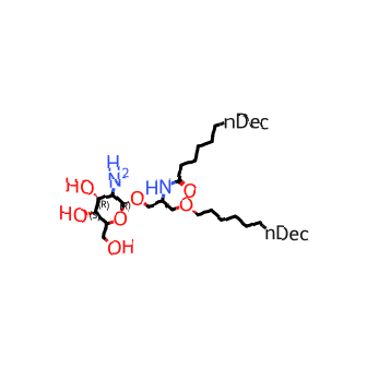 CCCCCCCCCCCCCCCCOCC(CO[C@@H]1OC(CO)[C@@H](O)[C@H](O)C1N)NC(=O)CCCCCCCCCCCCCCC